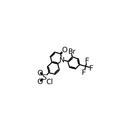 O=c1ccc2cc(S(=O)(=O)Cl)ccc2n1-c1ccc(C(F)(F)F)cc1Br